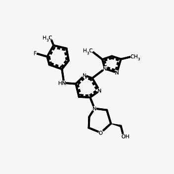 Cc1cc(C)n(-c2nc(Nc3ccc(C)c(F)c3)cc(N3CCO[C@H](CO)C3)n2)n1